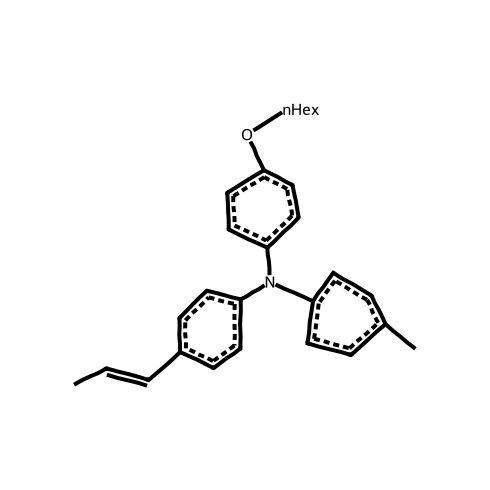 CC=Cc1ccc(N(c2ccc(C)cc2)c2ccc(OCCCCCC)cc2)cc1